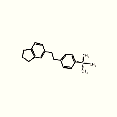 C[Si](C)(C)c1ccc([CH]Cc2ccc3c(c2)CCC3)cc1